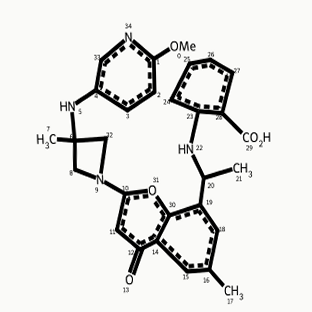 COc1ccc(NC2(C)CN(c3cc(=O)c4cc(C)cc(C(C)Nc5ccccc5C(=O)O)c4o3)C2)cn1